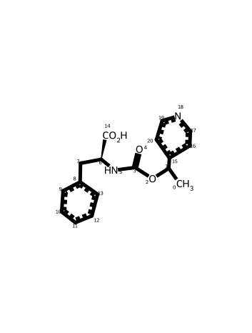 CC(OC(=O)N[C@@H](Cc1ccccc1)C(=O)O)c1ccncc1